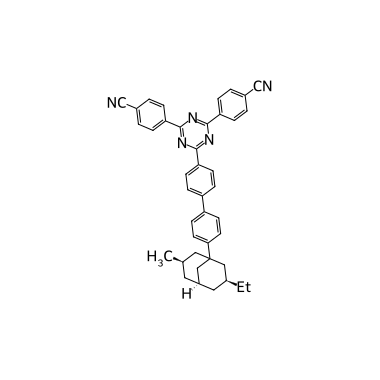 CC[C@H]1C[C@H]2C[C@@H](C)CC(c3ccc(-c4ccc(-c5nc(-c6ccc(C#N)cc6)nc(-c6ccc(C#N)cc6)n5)cc4)cc3)(C2)C1